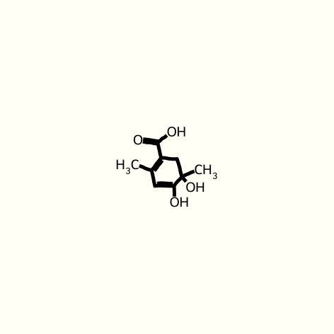 CC1=C(C(=O)O)CC(C)(O)C(O)=C1